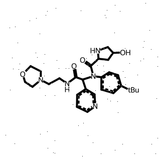 CC(C)(C)c1ccc(N(C(=O)C2CC(O)CN2)C(C(=O)NCCN2CCOCC2)c2cccnc2)cc1